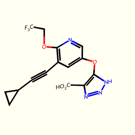 O=C(O)c1nn[nH]c1Oc1cnc(OCC(F)(F)F)c(C#CC2CC2)c1